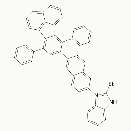 CCc1[nH]c2ccccc2[n+]1-c1ccc2cc(-c3cc(-c4ccccc4)c4c(c3-c3ccccc3)-c3cccc5cccc-4c35)ccc2c1